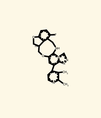 Cc1nccc(-c2cc3c(n4cnnc24)NCc2c(F)ccc4c2[C@@H](CO4)CO3)c1C